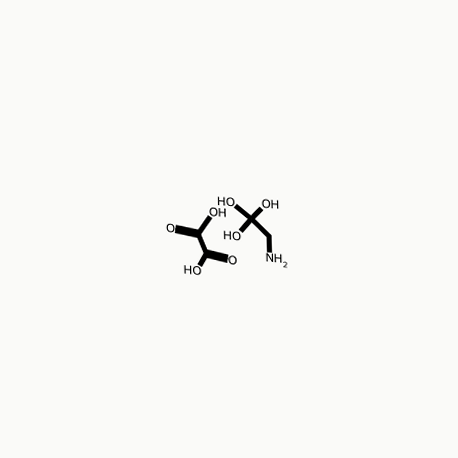 NCC(O)(O)O.O=C(O)C(=O)O